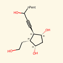 CCCCCC(O)C#C[C@@H]1[C@@H](CCO)[C@@H](O)C[C@H]1O